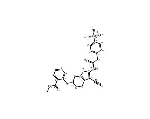 COC(=O)c1ccccc1CN1CCc2c(sc(NC(=O)Cc3ccc(S(N)(=O)=O)cc3)c2C#N)C1